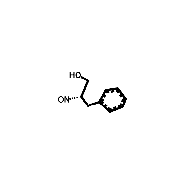 O=N[C@H](CO)Cc1ccccc1